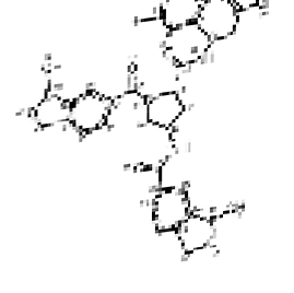 Cc1cccc(C(CC(=O)O)NC(=O)[C@@H]2C[C@@H](NC(=O)c3ccc4c(c3)B(O)OC4)CN2C(=O)c2ccc3c(c2)B(O)OC3)c1